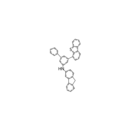 c1ccc(-c2cc(Nc3ccc4c(c3)-c3ccccc3C4)cc(-c3cccc4c3sc3ccccc34)c2)cc1